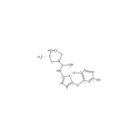 CCN(C[C@H](C)O)C(O)Nc1nnc(Cc2cc(Cl)ccc2F)s1